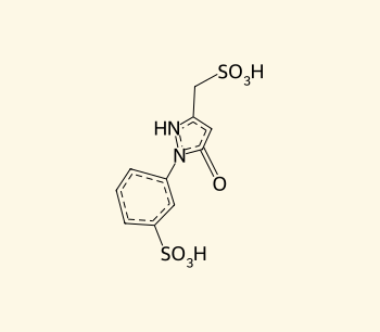 O=c1cc(CS(=O)(=O)O)[nH]n1-c1cccc(S(=O)(=O)O)c1